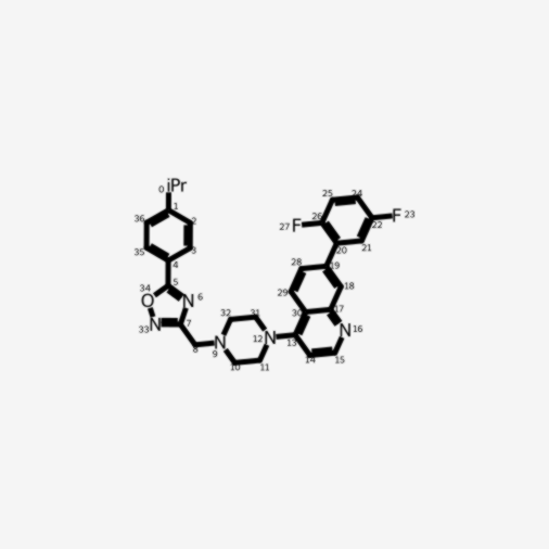 CC(C)c1ccc(-c2nc(CN3CCN(c4ccnc5cc(-c6cc(F)ccc6F)ccc45)CC3)no2)cc1